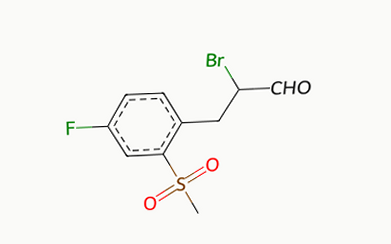 CS(=O)(=O)c1cc(F)ccc1CC(Br)C=O